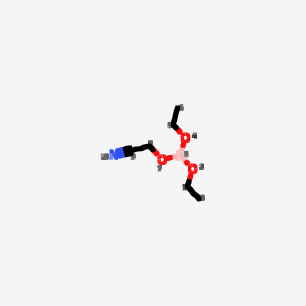 CCOB(OCC)OCC#N